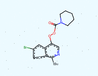 CC(C)(C)c1ncc(OOC(=O)N2CCCCC2)c2cc(Br)ccc12